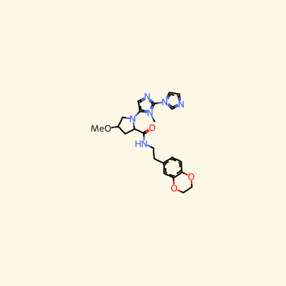 COC1CC(C(=O)NCCc2ccc3c(c2)OCCO3)N(c2cnc(-n3ccnc3)n2C)C1